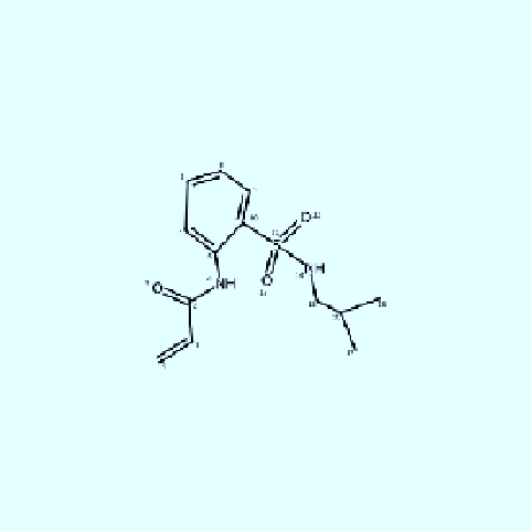 C=CC(=O)Nc1ccccc1S(=O)(=O)NCC(C)C